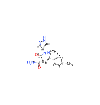 CN1C(c2ccc(C(F)(F)F)cc2)=CC(C(N)=O)C(=O)N1c1cn[nH]c1